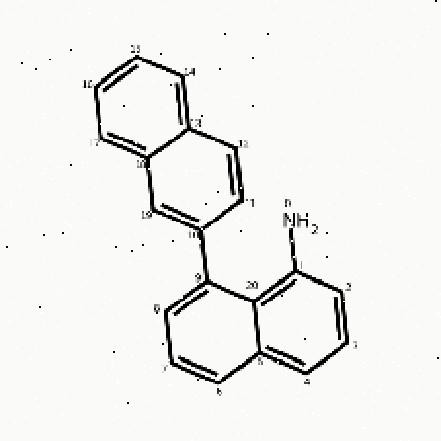 Nc1cccc2cccc(-c3ccc4ccccc4c3)c12